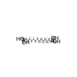 OB(O)CCCCCCCCCCCCCCB(O)O